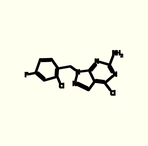 Nc1nc(Cl)c2cnn(Cc3ccc(F)cc3Cl)c2n1